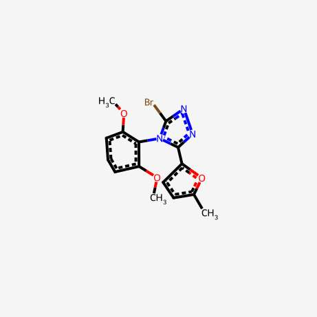 COc1cccc(OC)c1-n1c(Br)nnc1-c1ccc(C)o1